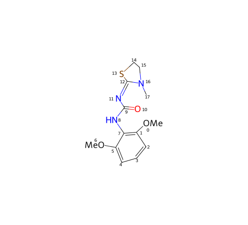 COc1cccc(OC)c1NC(=O)/N=C1/SCCN1C